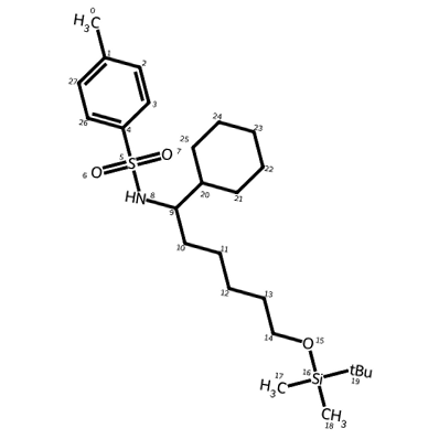 Cc1ccc(S(=O)(=O)NC(CCCCCO[Si](C)(C)C(C)(C)C)C2CCCCC2)cc1